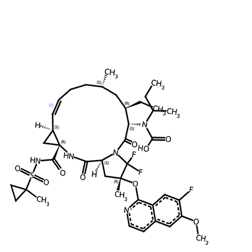 CCC(C)N(C(=O)O)[C@@H]1C(=O)N2[C@@H](C[C@@](C)(Oc3nccc4cc(OC)c(F)cc34)C2(F)F)C(=O)N[C@]2(C(=O)NS(=O)(=O)C3(C)CC3)C[C@H]2/C=C\CC[C@H](C)C[C@H]1CC